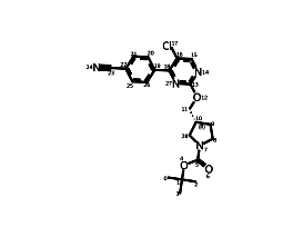 CC(C)(C)OC(=O)N1CC[C@@H](COc2ncc(Cl)c(-c3ccc(C#N)cc3)n2)C1